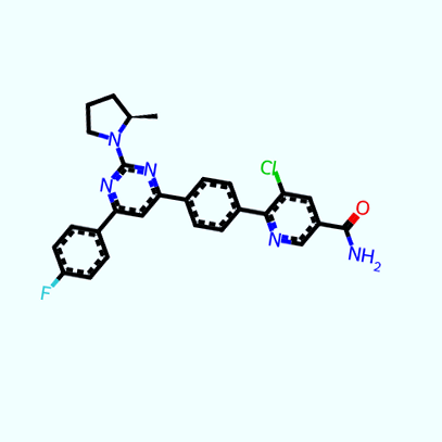 C[C@@H]1CCCN1c1nc(-c2ccc(F)cc2)cc(-c2ccc(-c3ncc(C(N)=O)cc3Cl)cc2)n1